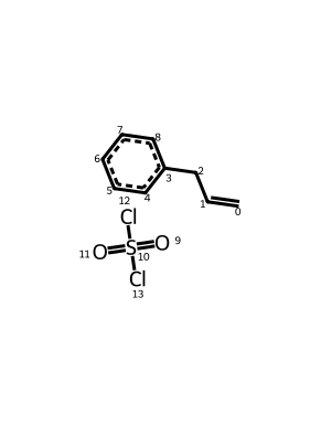 C=CCc1ccccc1.O=S(=O)(Cl)Cl